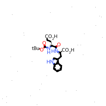 CC(C)(C)OC(=O)N[C@H](CCC(=O)O)C(=O)N[C@H](Cc1c[nH]c2ccccc12)C(=O)O